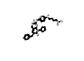 CCN(CC)CCCCNc1ccc(Nc2ncc3cc(Cc4ccccc4)c(=O)n(C4CCCC4)c3n2)nc1